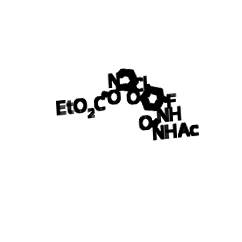 CCOC(=O)COc1ncccc1Oc1cc(NC(=O)NC(C)=O)c(F)cc1Cl